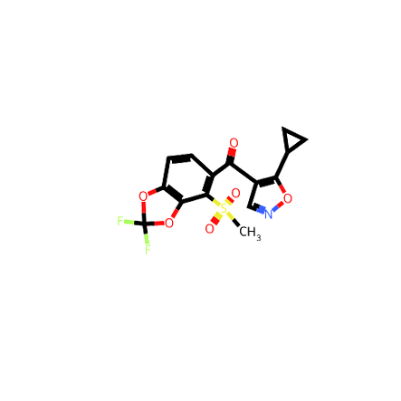 CS(=O)(=O)c1c(C(=O)c2cnoc2C2CC2)ccc2c1OC(F)(F)O2